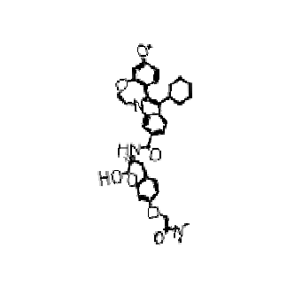 COc1ccc2c(c1)OCCn1c-2c(C2CCCCC2)c2ccc(C(=O)N[C@@](C)(Cc3ccc(OCC(=O)N(C)C)cc3)C(=O)O)cc21